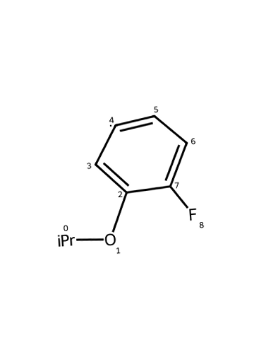 CC(C)Oc1c[c]ccc1F